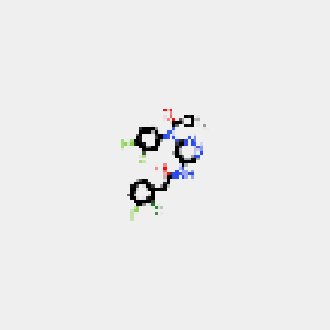 CC(=O)N(c1ccc(F)c(F)c1)c1cc(NC(=O)Cc2cccc(F)c2Cl)cnn1